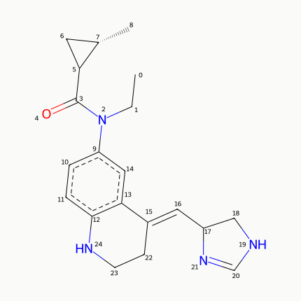 CCN(C(=O)C1C[C@@H]1C)c1ccc2c(c1)/C(=C/C1CNC=N1)CCN2